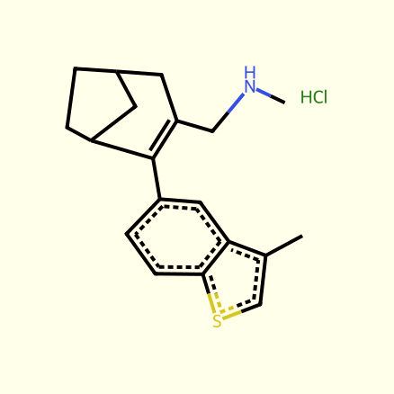 CNCC1=C(c2ccc3scc(C)c3c2)C2CCC(C1)C2.Cl